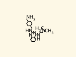 CN(C)CCNc1nc(NCC2CCC(CN)CC2)nc2ccccc12